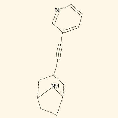 C(#CC1CC2CCC(C1)N2)c1cccnc1